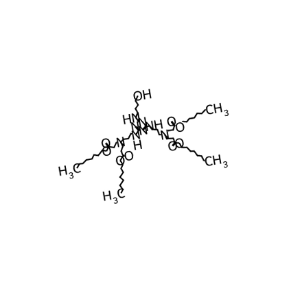 CCCCCCCCOC(=O)CCN(CCCNc1nc(NCCCCO)nc(NCCCN(CCC(=O)OCCCCCCCC)CCC(=O)OCCCCCCCC)n1)CCC(=O)OCCCCCCCC